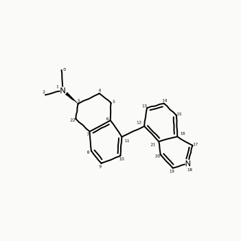 CN(C)[C@H]1CCc2c(cccc2-c2cccc3cnccc23)C1